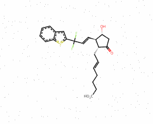 O=C(O)CCCC=CC[C@H]1C(=O)C[C@@H](O)[C@@H]1C=CC(F)(F)c1cc2ccccc2s1